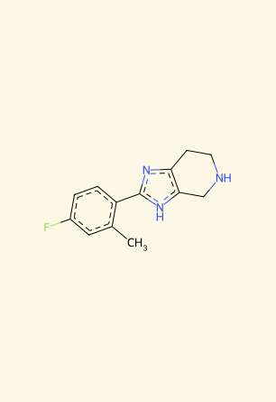 Cc1cc(F)ccc1-c1nc2c([nH]1)CNCC2